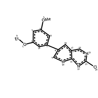 CCOc1cc(OC)cc(-c2cnc3nc(Cl)ncc3c2)c1